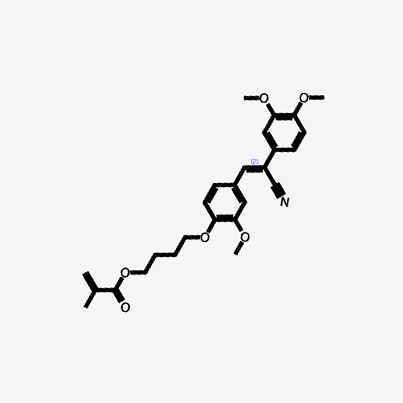 C=C(C)C(=O)OCCCCOc1ccc(/C=C(\C#N)c2ccc(OC)c(OC)c2)cc1OC